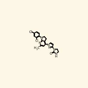 Cc1cc(-n2ccc(N3CCNC3=O)n2)c2c(n1)N(c1ccc(Cl)cc1Cl)CC2